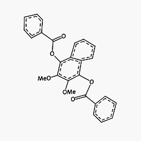 COc1c(OC)c(OC(=O)c2ccccc2)c2ccccc2c1OC(=O)c1ccccc1